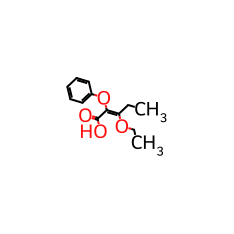 CCO/C(CC)=C(/Oc1ccccc1)C(=O)O